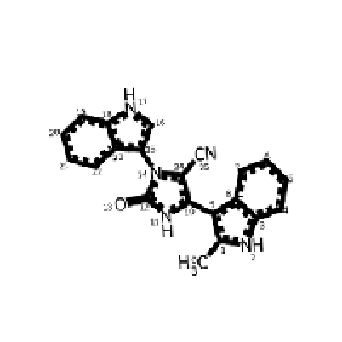 Cc1[nH]c2ccccc2c1-c1[nH]c(=O)n(-c2c[nH]c3ccccc23)c1C#N